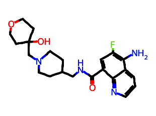 Nc1c(F)cc(C(=O)NCC2CCN(CC3(O)CCOCC3)CC2)c2ncccc12